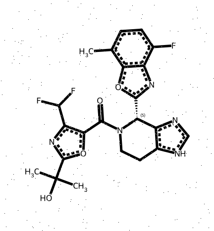 Cc1ccc(F)c2nc([C@@H]3c4nc[nH]c4CCN3C(=O)c3oc(C(C)(C)O)nc3C(F)F)oc12